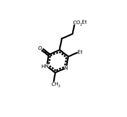 CCOC(=O)CCc1c(CC)nc(C)[nH]c1=O